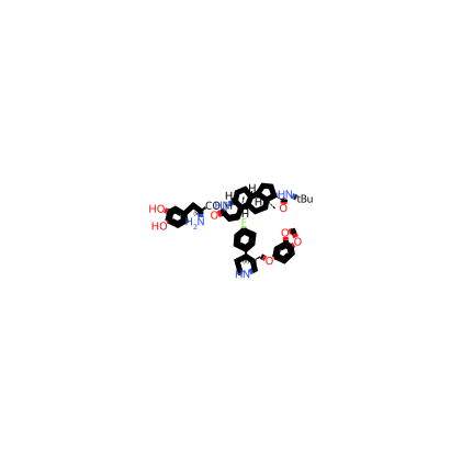 CC(C)(C)NC(=O)[C@H]1CC[C@H]2[C@@H]3CC[C@H]4NC(=O)C=C[C@]4(C)[C@H]3CC[C@]12C.Fc1ccc([C@@H]2CCNC[C@H]2COc2ccc3c(c2)OCO3)cc1.N[C@@H](Cc1ccc(O)c(O)c1)C(=O)O